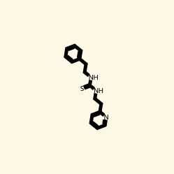 S=C(NCCc1ccccc1)NCCc1ccccn1